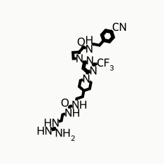 N#Cc1ccc(CCNC(=O)C2CCN2c2cc(N3CCC(CCNC(=O)NCCNC(=N)N)CC3)nc(C(F)(F)F)n2)cc1